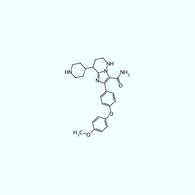 COc1ccc(Oc2ccc(-c3nc4n(c3C(N)=O)NCCC4C3CCNCC3)cc2)cc1